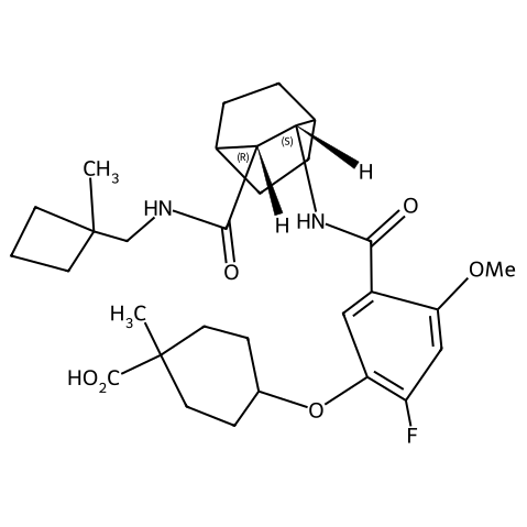 COc1cc(F)c(OC2CCC(C)(C(=O)O)CC2)cc1C(=O)N[C@H]1C2CCC(CC2)[C@H]1C(=O)NCC1(C)CCC1